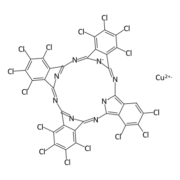 Clc1cc2c3nc4[n-]c(nc5nc(nc6nc(nc([n-]3)c2c(Cl)c1Cl)-c1c(Cl)c(Cl)c(Cl)c(Cl)c1-6)-c1c(Cl)c(Cl)c(Cl)c(Cl)c1-5)c1c(Cl)c(Cl)c(Cl)c(Cl)c41.[Cu+2]